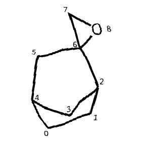 C1CC2CC1CC21CO1